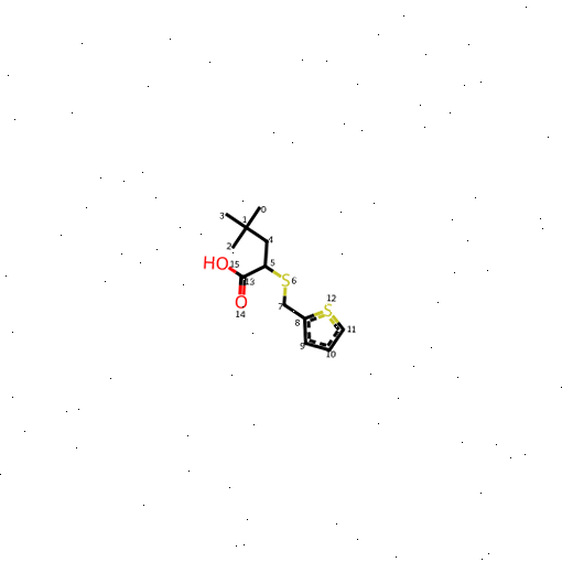 CC(C)(C)CC(SCc1cccs1)C(=O)O